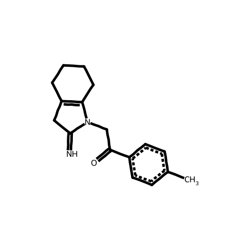 Cc1ccc(C(=O)CN2C(=N)CC3=C2CCCC3)cc1